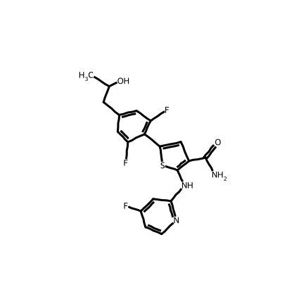 CC(O)Cc1cc(F)c(-c2cc(C(N)=O)c(Nc3cc(F)ccn3)s2)c(F)c1